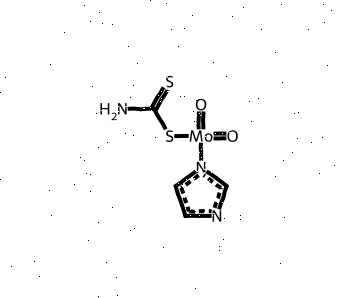 NC(=S)[S][Mo](=[O])(=[O])[n]1ccnc1